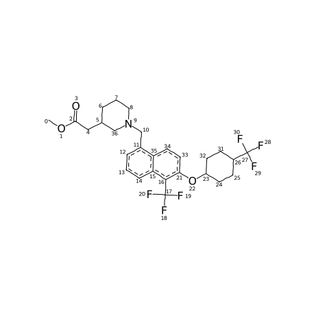 COC(=O)CC1CCCN(Cc2cccc3c(C(F)(F)F)c(OC4CCC(C(F)(F)F)CC4)ccc23)C1